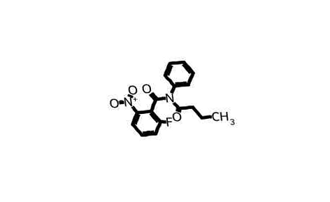 CCCC(=O)N(C(=O)c1c(F)cccc1[N+](=O)[O-])c1ccccc1